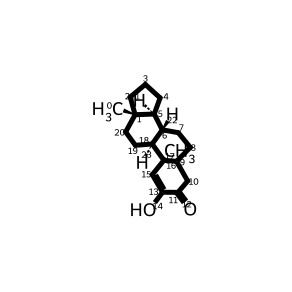 C[C@@]12CCC[C@H]1[C@@H]1CCC3CC(=O)C(O)=C[C@]3(C)[C@H]1CC2